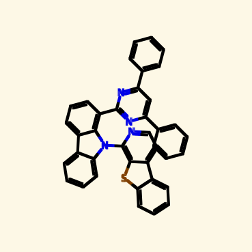 c1ccc(-c2cc(-c3ccccc3)nc(-c3cccc4c5ccccc5n(-c5nccc6c5sc5ccccc56)c34)n2)cc1